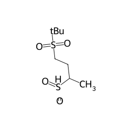 CC(CCS(=O)(=O)C(C)(C)C)[SH](=O)=O